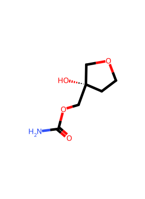 NC(=O)OC[C@]1(O)CCOC1